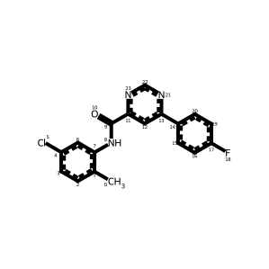 Cc1ccc(Cl)cc1NC(=O)c1cc(-c2ccc(F)cc2)ncn1